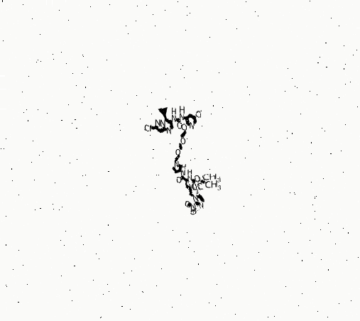 CC(C)(C)OC(=O)N[C@@H](CCCn1ccnc1[N+](=O)[O-])C(=O)N[C@@H]1CCN(CCOCCOCCOc2ncc(Cl)cc2NC(=O)Nc2cnc3cc(Cl)nn3c2C2CC2)C1